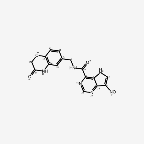 O=Nc1c[nH]c2c(C(=O)NCc3ccc4c(c3)NC(=O)CO4)ncnc12